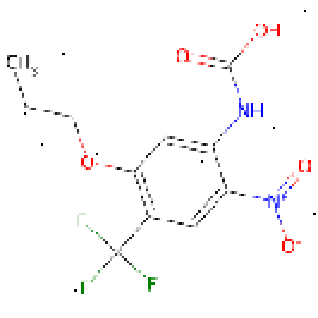 CCCOc1cc(NC(=O)O)c([N+](=O)[O-])cc1C(F)(F)F